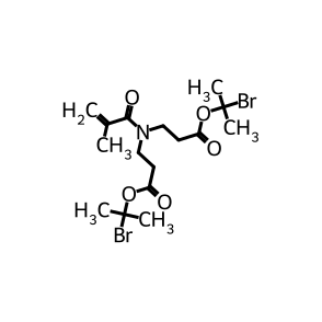 C=C(C)C(=O)N(CCC(=O)OC(C)(C)Br)CCC(=O)OC(C)(C)Br